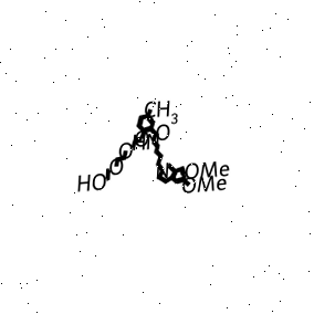 COc1cc2c(cc1OC)CN(CCCCNC(=O)c1cc(C)ccc1OCCOCCOCCO)CC2